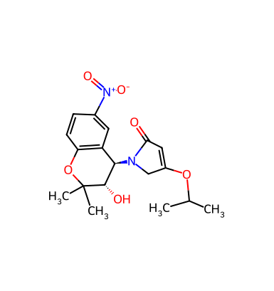 CC(C)OC1=CC(=O)N([C@@H]2c3cc([N+](=O)[O-])ccc3OC(C)(C)[C@H]2O)C1